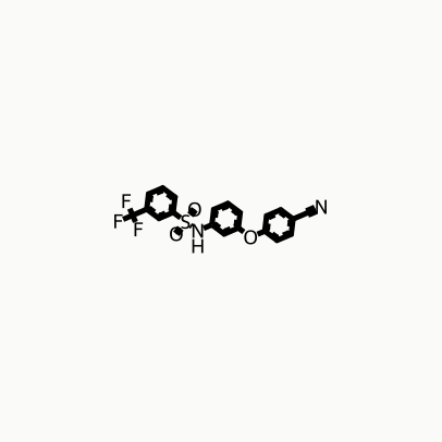 N#Cc1ccc(Oc2cccc(NS(=O)(=O)c3cccc(C(F)(F)F)c3)c2)cc1